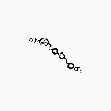 O=[N+]([O-])c1cn2c(n1)OC(COc1ccc(N3CCC(CCc4ccc(C(F)(F)F)cc4)CC3)cc1)CC2